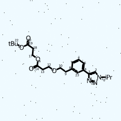 CC(C)n1cc(-c2cccc(CCOCCC(=O)OCCC(=O)OC(C)(C)C)c2)nn1